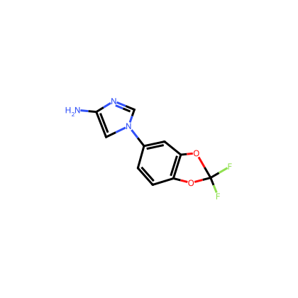 Nc1cn(-c2ccc3c(c2)OC(F)(F)O3)cn1